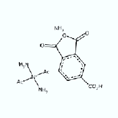 CC(=O)[N+](N)(N)C(C)=O.N.O=C(O)c1ccc2c(c1)C(=O)OC2=O